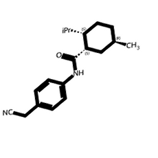 CC(C)[C@@H]1CC[C@@H](C)C[C@@H]1C(=O)Nc1ccc(CC#N)cc1